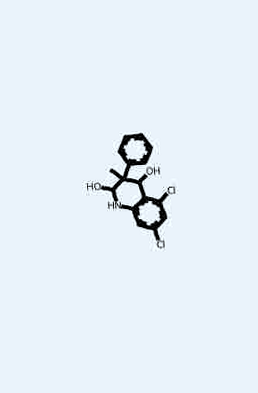 CC1(c2ccccc2)C(O)Nc2cc(Cl)cc(Cl)c2C1O